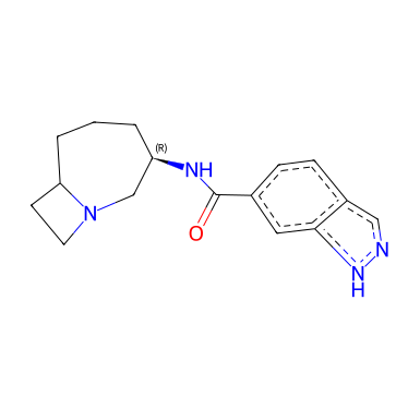 O=C(N[C@@H]1CCCC2CCN2C1)c1ccc2cn[nH]c2c1